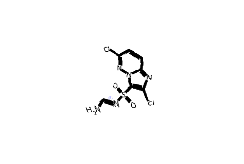 N/C=N/S(=O)(=O)c1c(Cl)nc2ccc(Cl)nn12